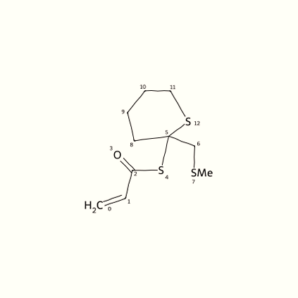 C=CC(=O)SC1(CSC)CCCCS1